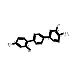 Pc1ccc(-c2ccc(-c3ccc(P)c(I)c3)cc2)c(I)c1